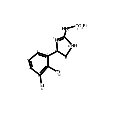 CCOC(=O)NC1=NC(c2cccc(CC)c2CC)CN1